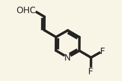 O=CC=Cc1ccc(C(F)F)nc1